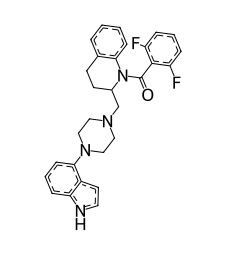 O=C(c1c(F)cccc1F)N1c2ccccc2CCC1CN1CCN(c2cccc3[nH]ccc23)CC1